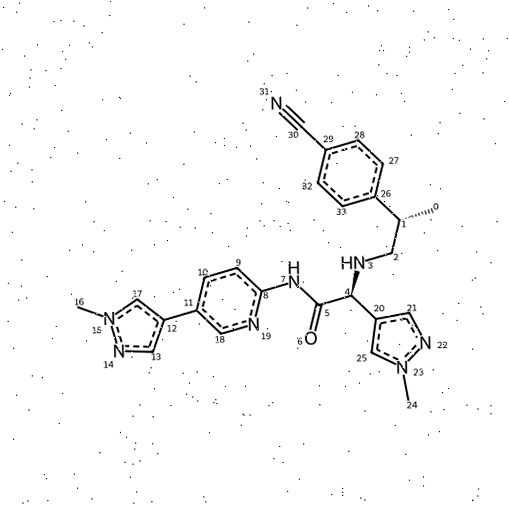 C[C@H](CN[C@H](C(=O)Nc1ccc(-c2cnn(C)c2)cn1)c1cnn(C)c1)c1ccc(C#N)cc1